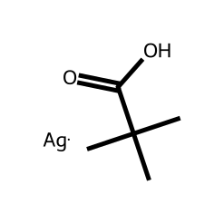 CC(C)(C)C(=O)O.[Ag]